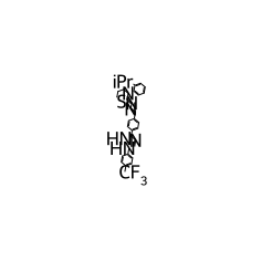 CC(C)c1ccccc1N1CCCS/C1=N\N=C\c1ccc(C(=N)/N=C\Nc2ccc(C(F)(F)F)cc2)cc1